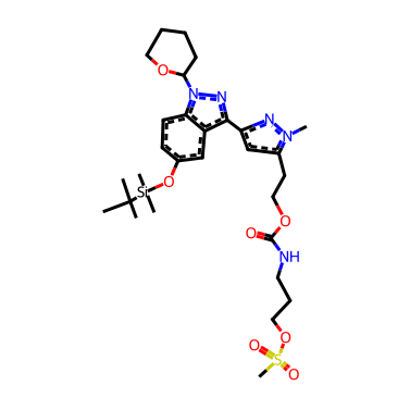 Cn1nc(-c2nn(C3CCCCO3)c3ccc(O[Si](C)(C)C(C)(C)C)cc23)cc1CCOC(=O)NCCCOS(C)(=O)=O